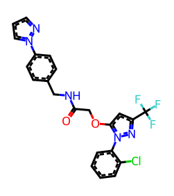 O=C(COc1cc(C(F)(F)F)nn1-c1ccccc1Cl)NCc1ccc(-n2cccn2)cc1